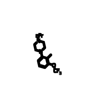 CCCN1CCN(c2cccc(OC(F)(F)F)c2C)CC1